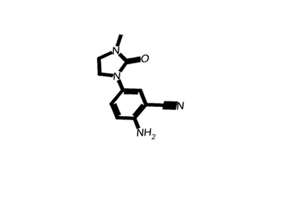 CN1CCN(c2ccc(N)c(C#N)c2)C1=O